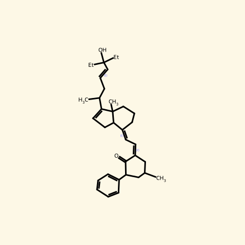 CCC(O)(/C=C/CC(C)C1=CCC2/C(=C/C=C3/CC(C)CC(c4ccccc4)C3=O)CCCC12C)CC